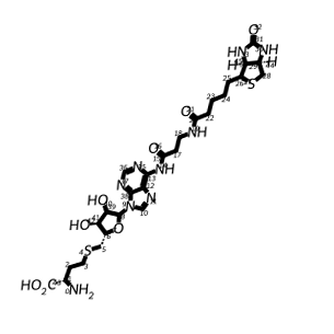 N[C@@H](CCSC[C@H]1OC(n2cnc3c(NC(=O)CCNC(=O)CCCCC4SC[C@@H]5NC(=O)N[C@H]45)ncnc32)C(O)[C@@H]1O)C(=O)O